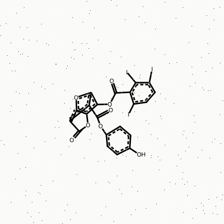 O=C(Oc1c2c3oc1c(C(=O)Oc1ccc(O)cc1)c3C(=O)O2)c1c(I)ccc(I)c1I